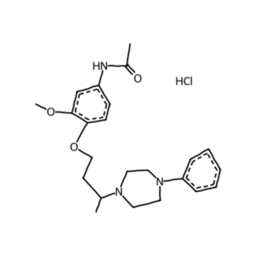 COc1cc(NC(C)=O)ccc1OCCC(C)N1CCN(c2ccccc2)CC1.Cl